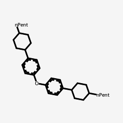 CCCCCC1CCC(c2ccc(Oc3ccc(C4CCC(CCCCC)CC4)cc3)cc2)CC1